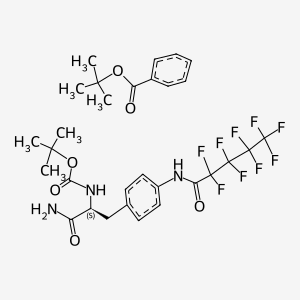 CC(C)(C)OC(=O)N[C@@H](Cc1ccc(NC(=O)C(F)(F)C(F)(F)C(F)(F)C(F)(F)F)cc1)C(N)=O.CC(C)(C)OC(=O)c1ccccc1